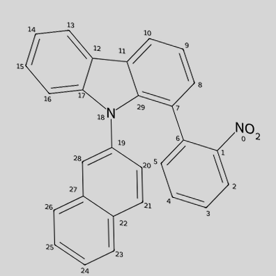 O=[N+]([O-])c1ccccc1-c1cccc2c3ccccc3n(-c3ccc4ccccc4c3)c12